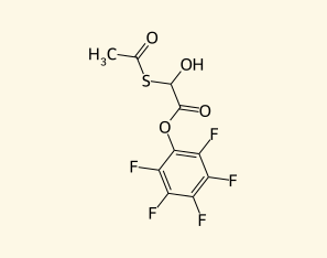 CC(=O)SC(O)C(=O)Oc1c(F)c(F)c(F)c(F)c1F